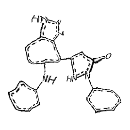 O=c1cc(-c2c(Nc3ccccc3)ccc3[nH]nnc23)[nH]n1-c1ccccc1